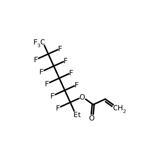 C=CC(=O)OC(F)(CC)C(F)(F)C(F)(F)C(F)(F)C(F)(F)C(F)(F)F